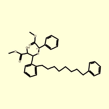 COC(=O)C(O)C(S[C@@H](C(=O)OC)c1ccccc1)c1ccccc1CCCCCCCCc1ccccc1